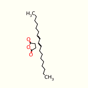 CCCCCCC=CC=CCCCCCCCC.O=C1CCC(=O)O1